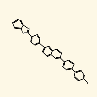 Fc1ccc(-c2ccc(-c3ccc4cc(-c5ccc(-c6nc7ccccc7s6)cc5)ccc4c3)cc2)cc1